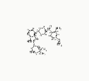 CC1(C)CNCC(c2nc3c(C4CCN(C(=O)c5ccc(OC(F)(F)F)cc5N)CC4)ccnc3[nH]2)O1